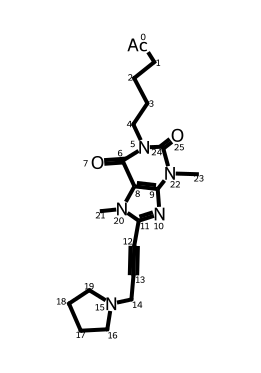 CC(=O)CCCCn1c(=O)c2c(nc(C#CCN3CCCC3)n2C)n(C)c1=O